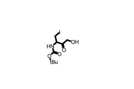 CC(C)(C)OC(=O)NC(CI)C(=O)CO